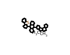 CC1(C)c2cc(-c3c4ccccc4c(-c4cccc5c4sc4ccccc45)c4ccccc34)ccc2-c2c1ccc1ccccc21